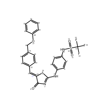 O=C1N=C(Nc2ccc(NS(=O)(=O)C(F)(F)F)cc2)S/C1=C\c1ccc(COc2ccccc2)cc1